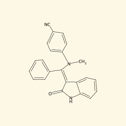 CN(C(=C1C(=O)Nc2ccccc21)c1ccccc1)c1ccc(C#N)cc1